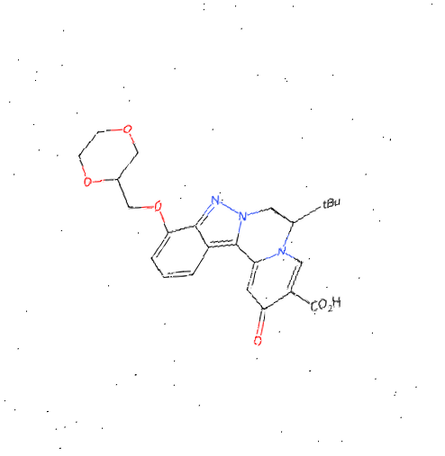 CC(C)(C)C1Cn2nc3c(OCC4COCCO4)cccc3c2-c2cc(=O)c(C(=O)O)cn21